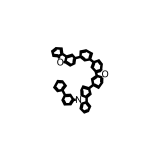 c1ccc(-c2cccc(-n3c4ccccc4c4cc(-c5ccc6oc7ccc(-c8cccc(-c9ccc%10oc%11ccccc%11c%10c9)c8)cc7c6c5)ccc43)c2)cc1